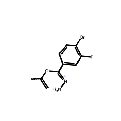 C=C(C)O/C(=N\N)c1ccc(Br)c(F)c1